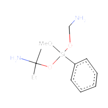 CCC(C)(N)O[Si](OC)(OCN)c1ccccc1